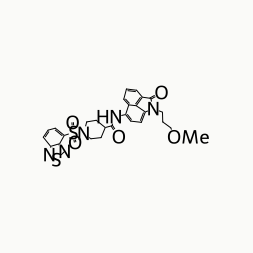 COCCCN1C(=O)c2cccc3c(NC(=O)C4CCN(S(=O)(=O)c5cccc6nsnc56)CC4)ccc1c23